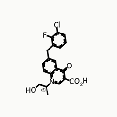 C[C@@H](CO)n1cc(C(=O)O)c(=O)c2cc(Cc3cccc(Cl)c3F)ccc21